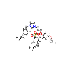 C=Cc1ccc(CN2C=CN(CC(COc3ccc(OC)cc3)OS(=O)(=O)c3ccc(C=C)cc3)C2)cc1